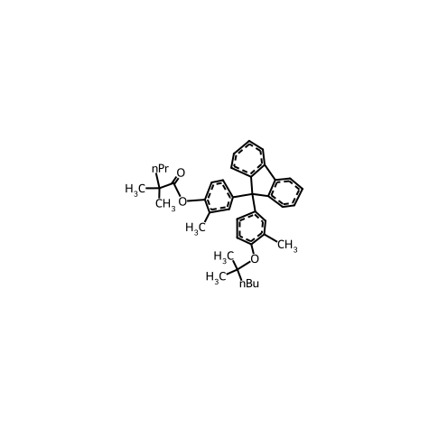 CCCCC(C)(C)Oc1ccc(C2(c3ccc(OC(=O)C(C)(C)CCC)c(C)c3)c3ccccc3-c3ccccc32)cc1C